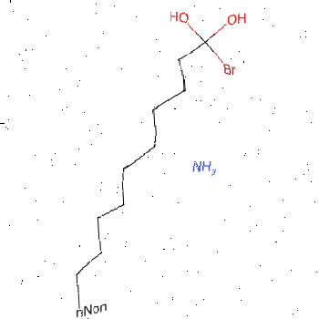 CCCCCCCCCCCCCCCCCCC(O)(O)Br.N